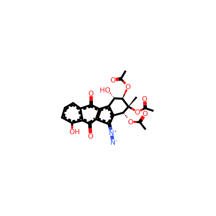 CC(=O)O[C@@H]1c2c(c3c(=O)c4cccc(O)c4c(=O)c=3c2=[N+]=[N-])[C@H](O)[C@@H](OC(C)=O)[C@]1(C)OC(C)=O